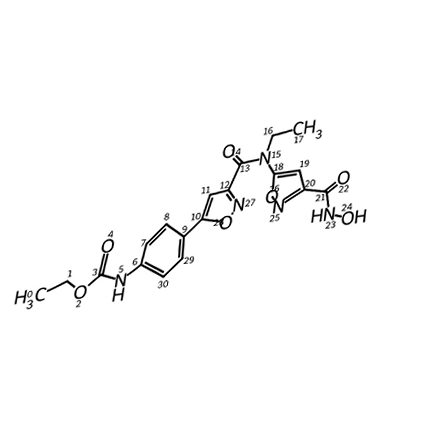 CCOC(=O)Nc1ccc(-c2cc(C(=O)N(CC)c3cc(C(=O)NO)no3)no2)cc1